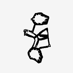 CN(C(=O)C12CC1C(=NO)c1ccccc1O2)c1ccccn1